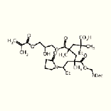 C=C(C)C(=O)OCC(O)COC(=O)C(C)(CC(C)(CC)C(=O)O)CC(C)(CC(CC)N1CCCC1=O)C(=O)OCCCCCCCCCCC